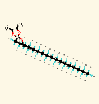 CCO[Si](OCC)(OCC)C(F)(F)C(F)(F)C(F)(F)C(F)(F)C(F)(F)C(F)(F)C(F)(F)C(F)(F)C(F)(F)C(F)(F)C(F)(F)C(F)(F)C(F)(F)C(F)(F)C(F)(F)C(F)(F)C(F)(F)F